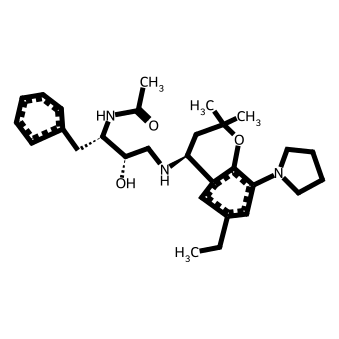 CCc1cc2c(c(N3CCCC3)c1)OC(C)(C)C[C@@H]2NC[C@H](O)[C@H](Cc1ccccc1)NC(C)=O